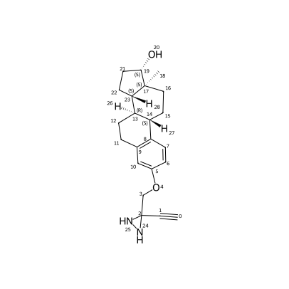 C#CC1(COc2ccc3c(c2)CC[C@@H]2[C@@H]3CC[C@]3(C)[C@@H](O)CC[C@@H]23)NN1